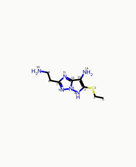 CCSc1[nH]n2nc(CCN)nc2c1N